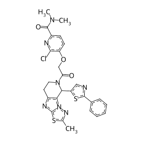 Cc1nn2c3c(nc2s1)CCN(C(=O)COc1ccc(C(=O)N(C)C)nc1Cl)C3c1cnc(-c2ccccc2)s1